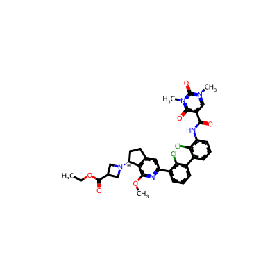 CCOC(=O)C1CN([C@@H]2CCc3cc(-c4cccc(-c5cccc(NC(=O)c6cn(C)c(=O)n(C)c6=O)c5Cl)c4Cl)nc(OC)c32)C1